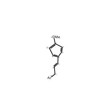 COc1ccc(C=CCC(C)=O)cc1